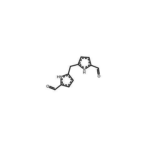 O=Cc1ccc(Cc2ccc(C=O)[nH]2)[nH]1